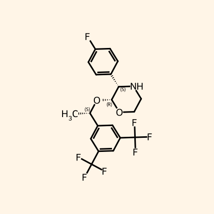 C[C@H](O[C@H]1OCCN[C@H]1c1ccc(F)cc1)c1cc(C(F)(F)F)cc(C(F)(F)F)c1